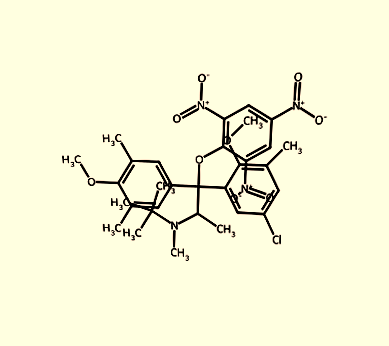 COc1c(C)cc(C(Oc2c([N+](=O)[O-])cc([N+](=O)[O-])cc2[N+](=O)[O-])(c2cc(Cl)cc(C)c2OC)C(C)N(C)C(C)(C)C)cc1C